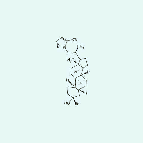 CC[C@@]1(O)CC[C@H]2[C@H](CC[C@@H]3[C@@H]2CC[C@]2(C)C([C@H](C)Cn4nccc4C#N)CC[C@@H]32)C1